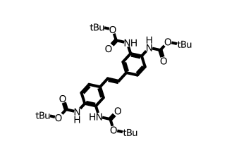 CC(C)(C)OC(=O)Nc1ccc(/C=C/c2ccc(NC(=O)OC(C)(C)C)c(NC(=O)OC(C)(C)C)c2)cc1NC(=O)OC(C)(C)C